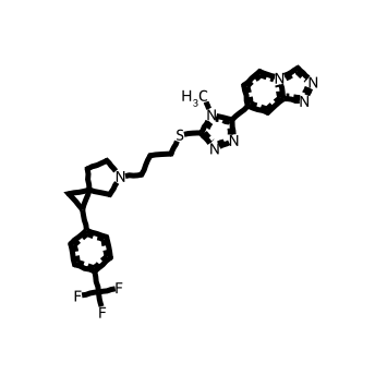 Cn1c(SCCCN2CCC3(CC3c3ccc(C(F)(F)F)cc3)C2)nnc1-c1ccn2cnnc2c1